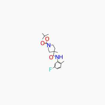 Cc1ccc(F)cc1NC(=O)C1(C)CCN(C(=O)OC(C)(C)C)CC1